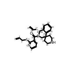 C=CCSc1ncccc1C(=O)N1CC2(CCNCC2)c2ccccc2[C@H]1CC=C